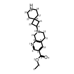 CCOC(=O)c1cnc2c(c1)CCN(C1CC3(CCNCC3)C1)C2